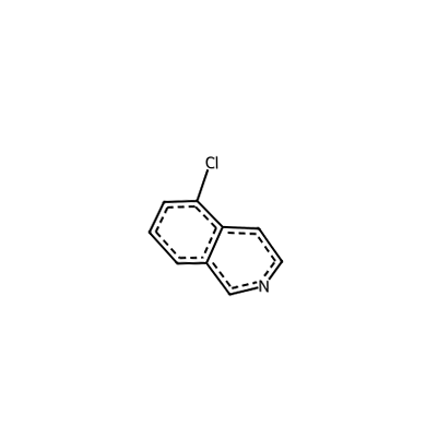 Clc1cccc2cnccc12